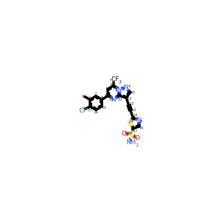 Cc1cc(-c2cc(C(F)(F)F)n3ncc(C#Cc4ncc(S(N)(=O)=O)s4)c3n2)ccc1Cl